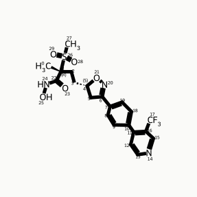 C[C@@](CC[C@H]1CC(c2ccc(-c3ccncc3C(F)(F)F)cc2)=NO1)(C(=O)NO)S(C)(=O)=O